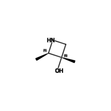 C[C@H]1NC[C@]1(C)O